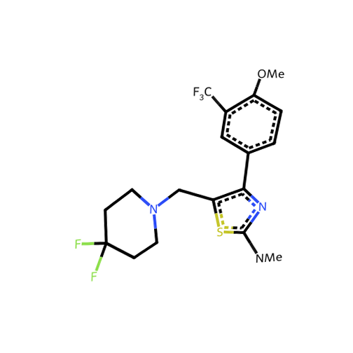 CNc1nc(-c2ccc(OC)c(C(F)(F)F)c2)c(CN2CCC(F)(F)CC2)s1